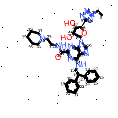 CCn1nnc([C@H]2O[C@@H](n3cnc4c(NCC(c5ccccc5)c5ccccc5)nc(C(=O)NCCN5CCCCC5)nc43)[C@H](O)[C@@H]2O)n1